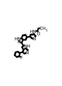 CCC(=O)Nc1cncc(-c2ccc3[nH]nc(-c4cc5c(-c6ccccc6F)cncc5[nH]4)c3c2)c1